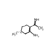 CC(=N)C1=C(N)C[C@H](C)CC1